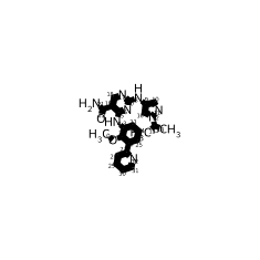 COc1c(Nc2nc(Nc3cnn(C(C)C)c3)ncc2C(N)=O)cccc1-c1ccccn1